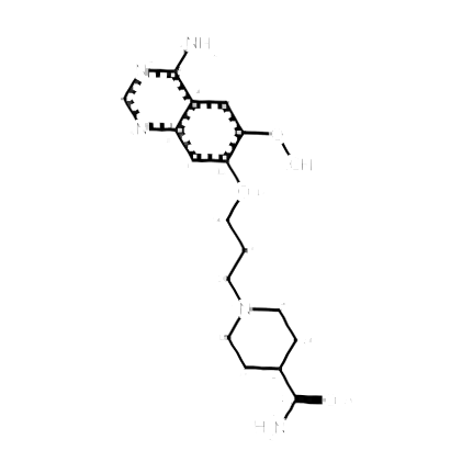 COc1cc2c(N)ncnc2cc1OCCCN1CCC(C(N)=O)CC1